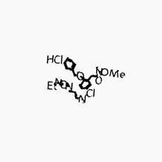 CCN=C=NCCCN(C)C.CON(C)C(=O)Cc1cc(Cl)ccc1OCc1ccccc1.Cl